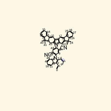 C=CC1=C(/C=C\C)N(c2cc(C#N)c(-n3c4c(c5cc6c(cc53)C(C)(C)c3ccccc3-6)C=C3c5ccccc5C(C)(C)C3C4)cc2C#N)C2C=CC=CC12